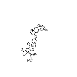 COc1cc2nccc(Oc3ccc(NC(=O)c4cc5c(n([C@H](CCO)C(C)C)c4=O)CCCC5=O)nc3)c2cc1OC